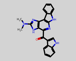 CN(C)c1nc2c([nH]1)c(C(=O)c1c[nH]c3ccccc13)nc1[nH]c3ccccc3c12